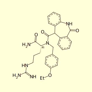 CCOc1ccc(CN(C(=O)C2c3ccccc3NC(=O)c3ccccc32)[C@H](CCCNC(=N)N)C(N)=O)cc1